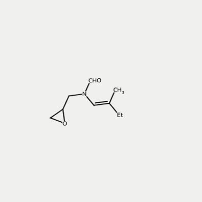 CCC(C)=CN(C=O)CC1CO1